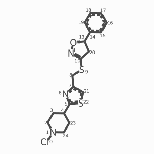 ClN1CCC(c2nc(CSC3=NOC(c4ccccc4)C3)cs2)CC1